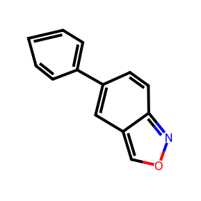 c1ccc(-c2ccc3nocc3c2)cc1